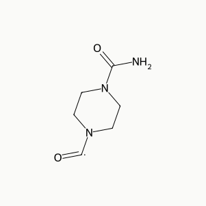 NC(=O)N1CCN([C]=O)CC1